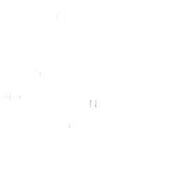 O=C(O)CC1CC(c2cccc(Cl)c2)C(c2ccc(Cl)cc2)N(CC2CCCC2)C1=O